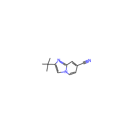 CC(C)(C)c1cn2ccc(C#N)cc2n1